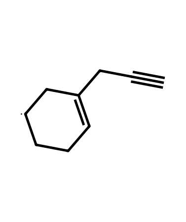 C#CCC1=CCC[CH]C1